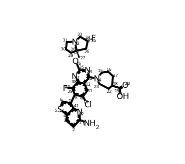 Nc1ccc2scc(-c3c(Cl)cc4c(N5CCCC(C(=O)O)CC5)nc(OC[C@@]56CCCN5C[C@H](F)C6)nc4c3F)c2n1